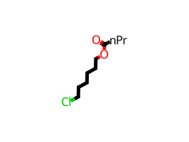 CCCC(=O)OCCCCCCCl